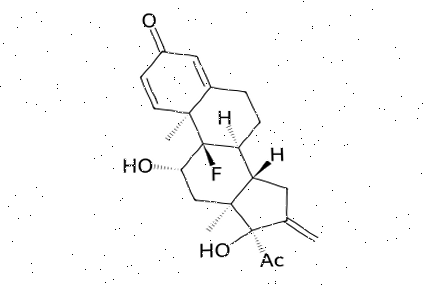 C=C1C[C@H]2[C@@H]3CCC4=CC(=O)C=C[C@]4(C)[C@@]3(F)[C@@H](O)C[C@]2(C)[C@@]1(O)C(C)=O